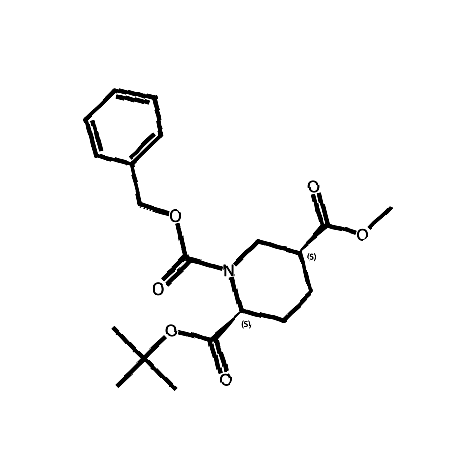 COC(=O)[C@H]1CC[C@@H](C(=O)OC(C)(C)C)N(C(=O)OCc2ccccc2)C1